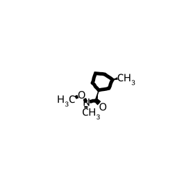 CON(C)C(=O)[C@H]1CCC[C@@H](C)C1